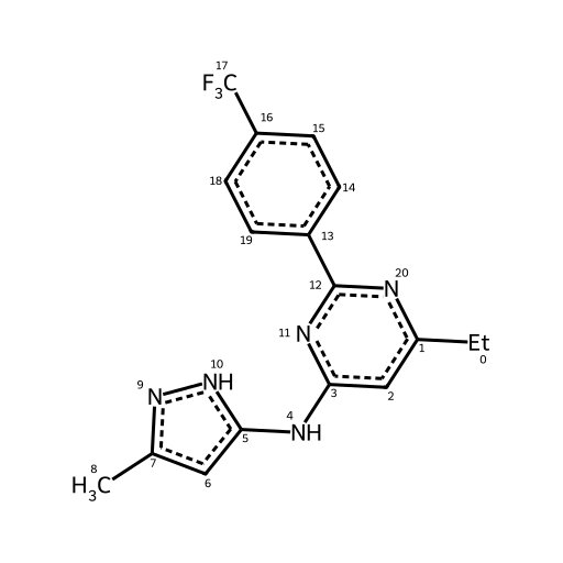 CCc1cc(Nc2cc(C)n[nH]2)nc(-c2ccc(C(F)(F)F)cc2)n1